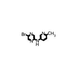 Cc1ccc(Nc2cnc(Br)cn2)cn1